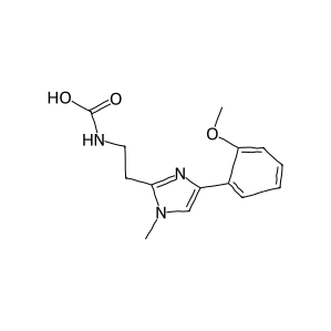 COc1ccccc1-c1cn(C)c(CCNC(=O)O)n1